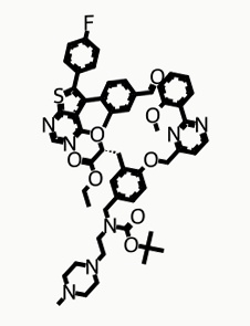 CCOC(=O)[C@@H](Cc1cc(CN(CCN2CCN(C)CC2)C(=O)OC(C)(C)C)ccc1OCc1ccnc(-c2ccccc2OC)n1)Oc1ncnc2sc(-c3ccc(F)cc3)c(-c3ccc(C=O)cc3C)c12